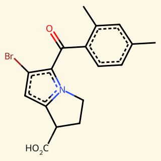 Cc1ccc(C(=O)c2c(Br)cc3n2CCC3C(=O)O)c(C)c1